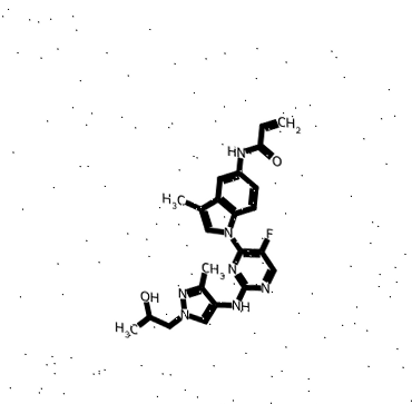 C=CC(=O)Nc1ccc2c(c1)c(C)cn2-c1nc(Nc2cn(CC(C)O)nc2C)ncc1F